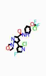 O=C(Nc1ccc(OC(F)(F)Cl)cc1)c1cnc(N2CCOC2)c(-c2cc(F)cnc2Cl)c1